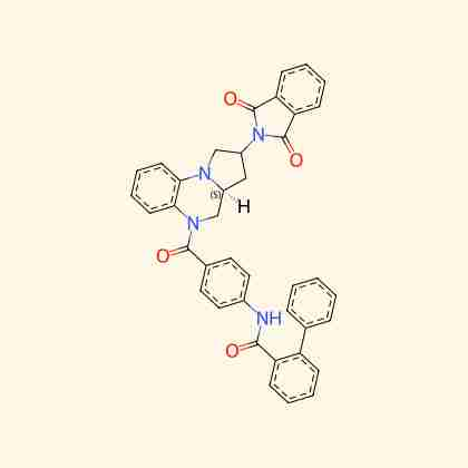 O=C(Nc1ccc(C(=O)N2C[C@@H]3CC(N4C(=O)c5ccccc5C4=O)CN3c3ccccc32)cc1)c1ccccc1-c1ccccc1